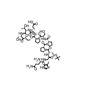 CCSC(=O)[C@H](CO)NC(=O)[C@@H](NC(=O)[C@H](CCC(=O)O)NC(=O)[C@@H]1CCCN1C(=O)[C@@H](NC(=O)[C@@H]1CCCN1C(=O)[C@@H]1CCCN1C(=O)[C@H](CSSC(C)(C)C)NC(=O)[C@H](Cc1c[nH]cn1)NC(=O)[C@@H](N)CCC(N)=O)[C@@H](C)O)[C@@H](C)O